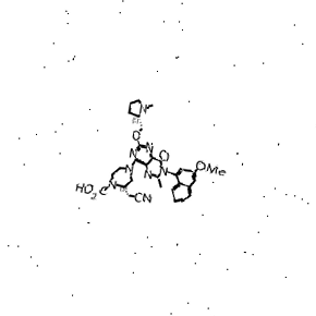 COc1cc(-n2c(C)nc3c(N4CCN(C(=O)O)[C@@H](CC#N)C4)nc(OC[C@@H]4CCCN4C)nc3c2=O)c2ccccc2c1